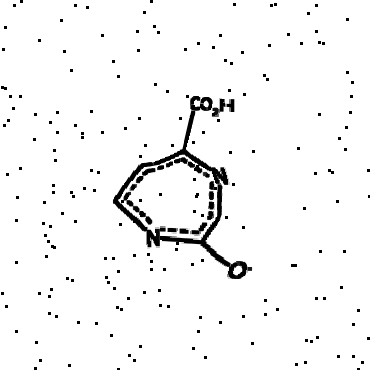 [O]c1nccc(C(=O)O)n1